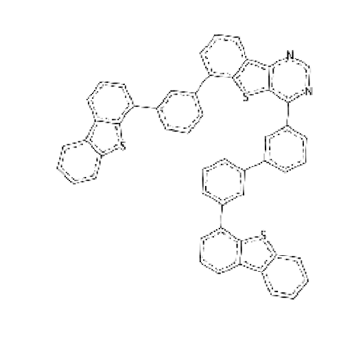 c1cc(-c2cccc(-c3ncnc4c3sc3c(-c5cccc(-c6cccc7c6sc6ccccc67)c5)cccc34)c2)cc(-c2cccc3c2sc2ccccc23)c1